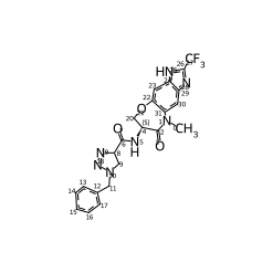 CN1C(=O)[C@@H](NC(=O)C2CN(Cc3ccccc3)N=N2)COc2cc3[nH]c(C(F)(F)F)nc3cc21